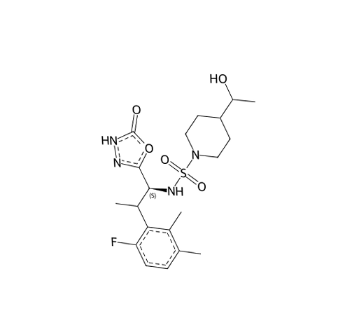 Cc1ccc(F)c(C(C)[C@H](NS(=O)(=O)N2CCC(C(C)O)CC2)c2n[nH]c(=O)o2)c1C